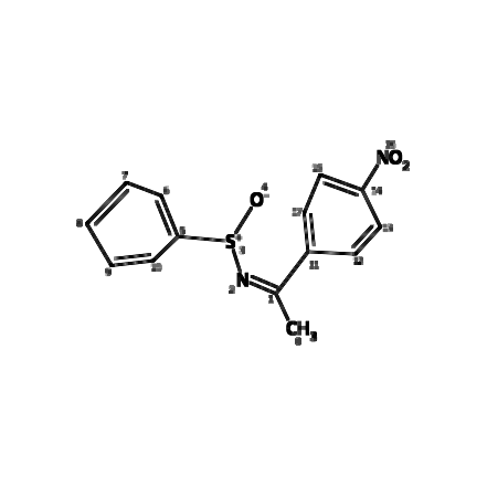 CC(=N[S+]([O-])c1ccccc1)c1ccc([N+](=O)[O-])cc1